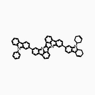 C1=Cc2c(n(C3CC=CCC3)c3cc(-c4ccc5c6cccc7c6n(c5c4)c4c5cccc6c8ccc(-c9ccc%10c%11ccccc%11n(-c%11ccccc%11)c%10c9)cc8n(c65)c74)ccc23)CC1